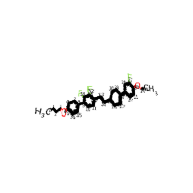 CCCCOc1ccc(-c2ccc(CCC3CC=C(c4ccc(OCC)c(F)c4)CC3)c(F)c2F)cc1